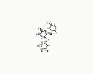 CCc1ccc(F)c(Nc2nc(=O)c(F)cn2Cc2cc(F)c(F)c(F)c2)c1